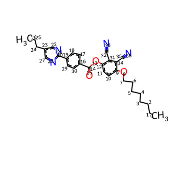 CCCCCCCCOc1ccc(OC(=O)c2ccc(-c3ncc(CCC)cn3)cc2)c(C#N)c1C#N